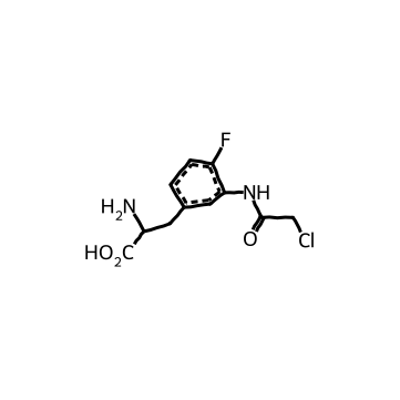 NC(Cc1ccc(F)c(NC(=O)CCl)c1)C(=O)O